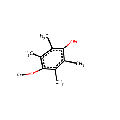 CCOc1c(C)c(C)c(O)c(C)c1C